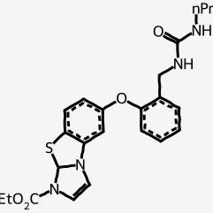 CCCNC(=O)NCc1ccccc1Oc1ccc2c(c1)N1C=CN(C(=O)OCC)C1S2